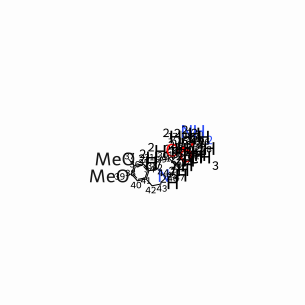 [2H]C([2H])([2H])C([2H])(C)C([2H])([2H])C1([2H])C(OC(=O)[C@@]([2H])(N)C([2H])(C([2H])([2H])[2H])C([2H])([2H])[2H])C([2H])([2H])C2([2H])c3cc(OC)c(OC)cc3CCN2C1([2H])[2H]